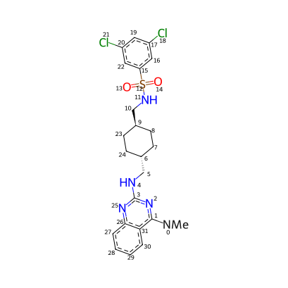 CNc1nc(NC[C@H]2CC[C@H](CNS(=O)(=O)c3cc(Cl)cc(Cl)c3)CC2)nc2ccccc12